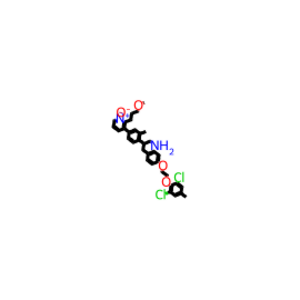 COCCCc1c(-c2ccc(C(CN)Cc3ccc(OCCOc4c(Cl)cc(C)cc4Cl)cc3)c(C)c2)ccc[n+]1[O-]